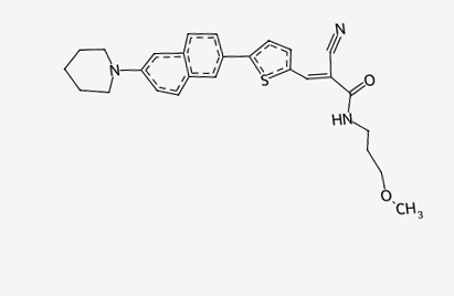 COCCCNC(=O)/C(C#N)=C/c1ccc(-c2ccc3cc(N4CCCCC4)ccc3c2)s1